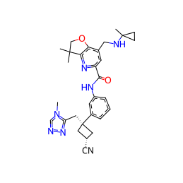 Cn1cnnc1C[C@]1(c2cccc(NC(=O)c3cc(CNC4(C)CC4)c4c(n3)C(C)(C)CO4)c2)C[C@H](C#N)C1